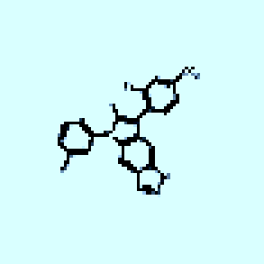 Cc1c(-c2ccc(C(=O)O)cc2F)c2cc3[nH]ncc3cc2n1-c1cccc(F)c1